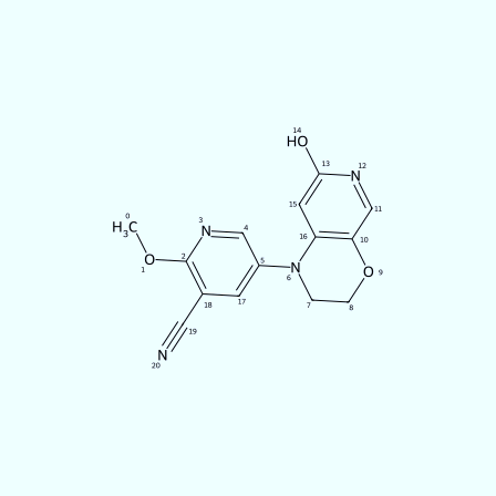 COc1ncc(N2CCOc3cnc(O)cc32)cc1C#N